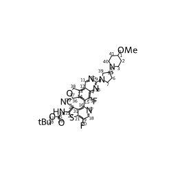 COC1CCN([C@@H]2CCN(c3ncc4c5c(c(-c6ncc(F)c7sc(NC(=O)OC(C)(C)C)c(C#N)c67)c(F)c4n3)COC5)C2)CC1